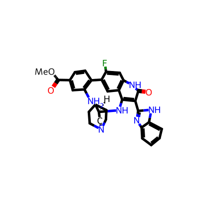 COC(=O)c1ccc(-c2cc3c(N[C@H]4CN5CCC4CC5)c(-c4nc5ccccc5[nH]4)c(=O)[nH]c3cc2F)c(N)c1